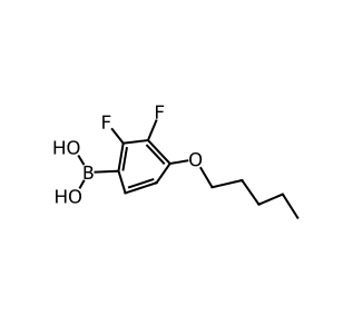 CCCCCOc1ccc(B(O)O)c(F)c1F